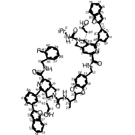 CC(C)NC(=O)N1Cc2cc(C(=O)NCc3ccc4c(c3)OC(CC(C)NC(=O)N3Cc5cc(C(=O)NCc6ccccc6F)nc(-c6cccc(-c7cc8ccccc8o7)c6)c5[C@H]3CCO)O4)nc(-c3cccc(-c4cc5ccccc5o4)c3)c2[C@H]1CCO